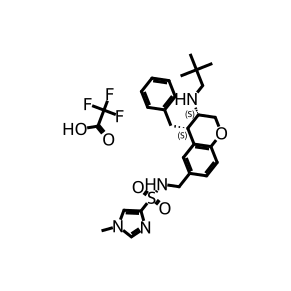 Cn1cnc(S(=O)(=O)NCc2ccc3c(c2)[C@H](Cc2ccccc2)[C@H](NCC(C)(C)C)CO3)c1.O=C(O)C(F)(F)F